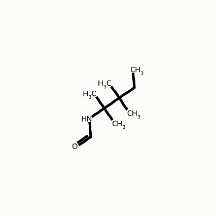 CCC(C)(C)C(C)(C)N[C]=O